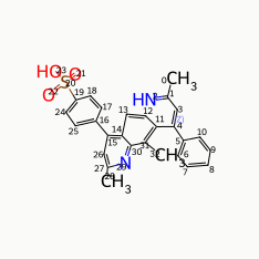 CC(=N)/C=C(/c1ccccc1)c1ccc2c(-c3ccc(S(=O)(=O)O)cc3)cc(C)nc2c1C